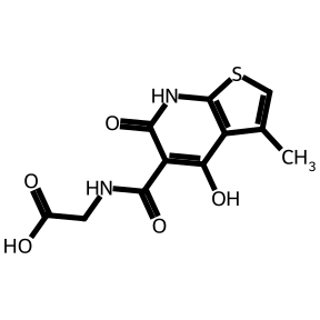 Cc1csc2[nH]c(=O)c(C(=O)NCC(=O)O)c(O)c12